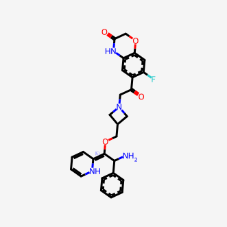 NC(/C(OCC1CN(CC(=O)c2cc3c(cc2F)OCC(=O)N3)C1)=C1/C=CC=CN1)c1ccccc1